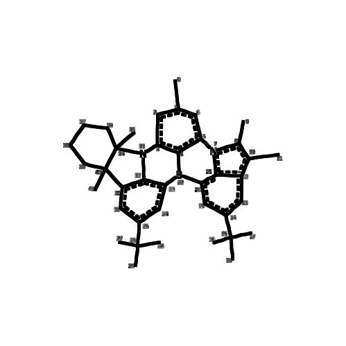 Cc1cc2c3c(c1)-n1c(C)c(C)c4cc(C(C)(C)C)cc(c41)B3c1cc(C(C)(C)C)cc3c1N2C1(C)CCCCC31C